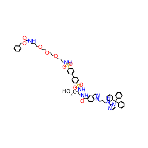 O=C(NCCCOCCOCCOCCCNS(=O)(=O)c1ccc(-c2ccc(S(=O)(=O)NC(CNC(=O)c3ccc4c(cnn4CCCNc4nccn4C(c4ccccc4)(c4ccccc4)c4ccccc4)c3)C(=O)O)cc2)cc1)OCc1ccccc1